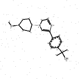 CO[C@H]1CC[C@H](N2C=C(c3ccc(C(C)(C)O)cc3)N=CC2)CC1